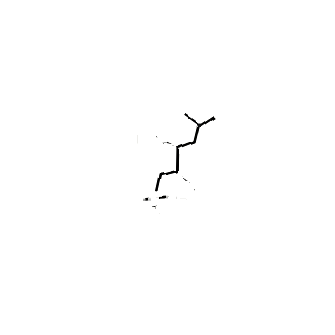 CC(C)C[C@H](N)[C@@H](N)CP(=O)(O)O